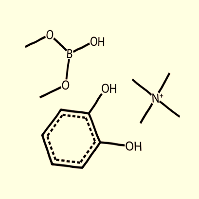 COB(O)OC.C[N+](C)(C)C.Oc1ccccc1O